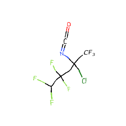 O=C=NC(Cl)(C(F)(F)F)C(F)(F)C(F)F